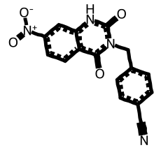 N#Cc1ccc(Cn2c(=O)[nH]c3cc([N+](=O)[O-])ccc3c2=O)cc1